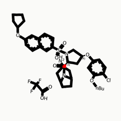 CCCCOc1cc(O[C@@H]2C[C@@H](C(=O)N3C4CCC3CC(N)C4)N(S(=O)(=O)c3ccc4cc(OC5CCCC5)ccc4c3)C2)ccc1Cl.O=C(O)C(F)(F)F